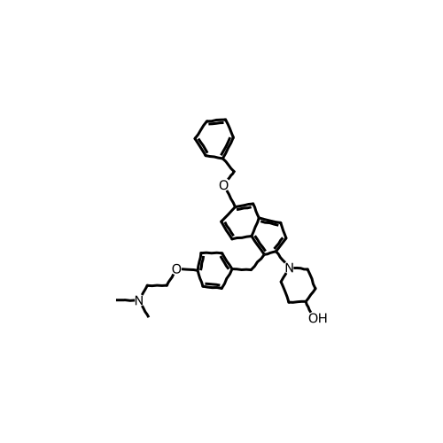 CN(C)CCOc1ccc(Cc2c(N3CCC(O)CC3)ccc3cc(OCc4ccccc4)ccc23)cc1